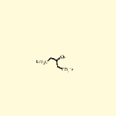 CCOC(=O)CC(C#N)CC(=O)OCC